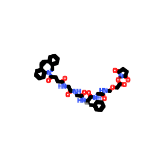 O=C(CCC(=O)N1Cc2ccccc2C#Cc2ccccc21)NCC(=O)NCC(=O)N[C@@H](Cc1ccccc1)C(=O)NCC(=O)NCOCC(=O)ON1C(=O)CCC1=O